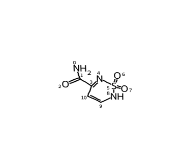 NC(=O)C1=NS(=O)(=O)NC=C1